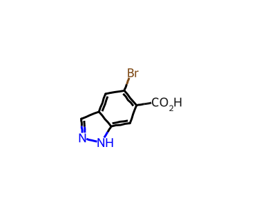 O=C(O)c1cc2[nH]ncc2cc1Br